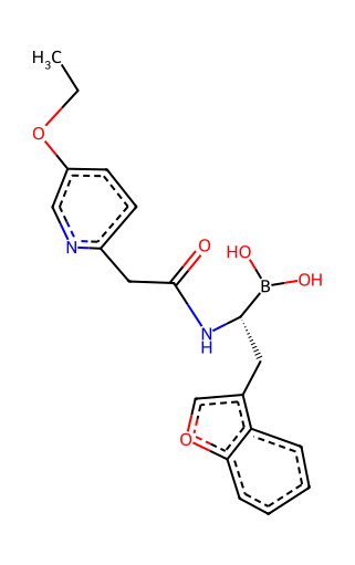 CCOc1ccc(CC(=O)N[C@@H](Cc2coc3ccccc23)B(O)O)nc1